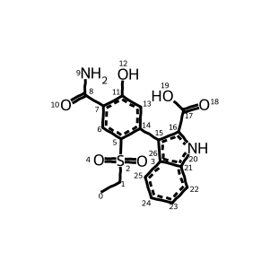 CCS(=O)(=O)c1cc(C(N)=O)c(O)cc1-c1c(C(=O)O)[nH]c2ccccc12